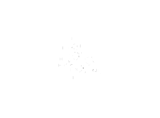 CC1=C(C)N(c2c(CN)cccc2-c2cc(C(C)(C)C)cc(C(C)(C)C)c2)CS1